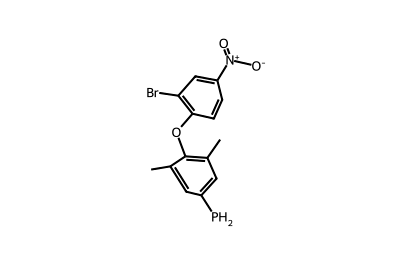 Cc1cc(P)cc(C)c1Oc1ccc([N+](=O)[O-])cc1Br